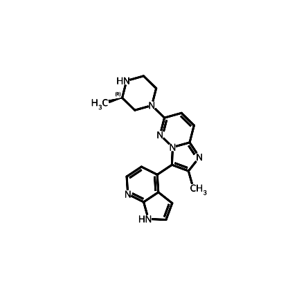 Cc1nc2ccc(N3CCN[C@H](C)C3)nn2c1-c1ccnc2[nH]ccc12